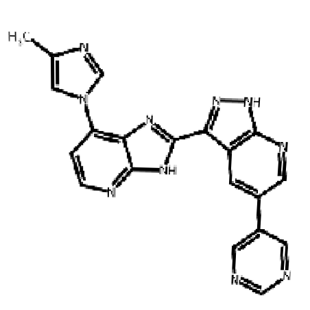 Cc1cn(-c2ccnc3[nH]c(-c4n[nH]c5ncc(-c6cncnc6)cc45)nc23)cn1